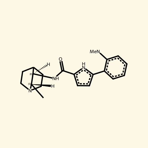 CNc1ccccc1-c1ccc(C(=O)N[C@@H]2C3CCN(CC3)[C@H]2C)[nH]1